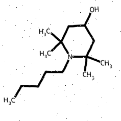 CCCCCN1C(C)(C)CC(O)CC1(C)C